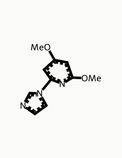 COc1cc(OC)nc(-n2ccnc2)c1